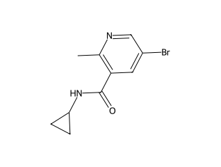 Cc1ncc(Br)cc1C(=O)NC1CC1